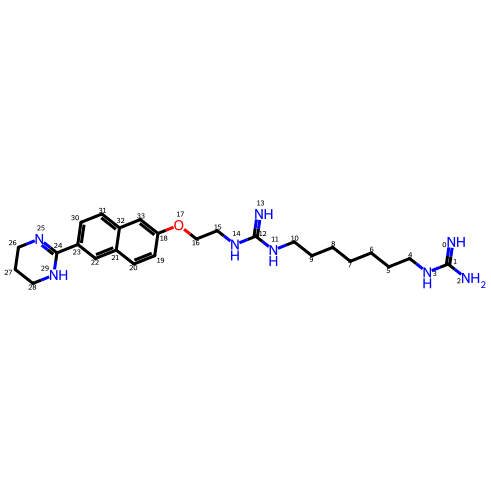 N=C(N)NCCCCCCCNC(=N)NCCOc1ccc2cc(C3=NCCCN3)ccc2c1